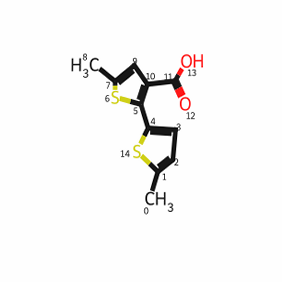 Cc1ccc(-c2sc(C)cc2C(=O)O)s1